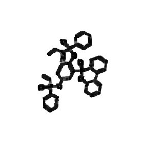 C=CNP(=O)(Oc1ccc(OP(=O)(C=C)c2ccccc2)cc1P1(=O)Oc2ccccc2-c2ccccc21)c1ccccc1